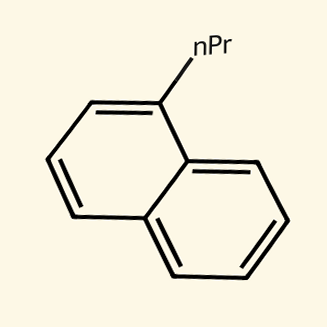 [CH2]CCc1cccc2ccccc12